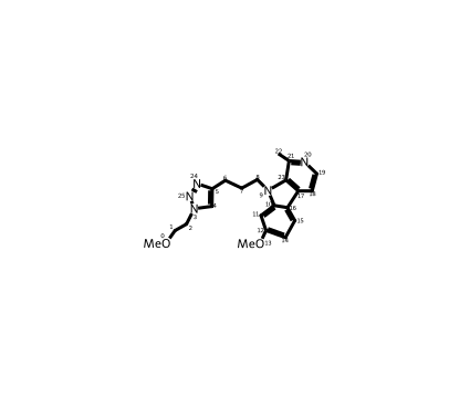 COCCn1cc(CCCn2c3cc(OC)ccc3c3ccnc(C)c32)nn1